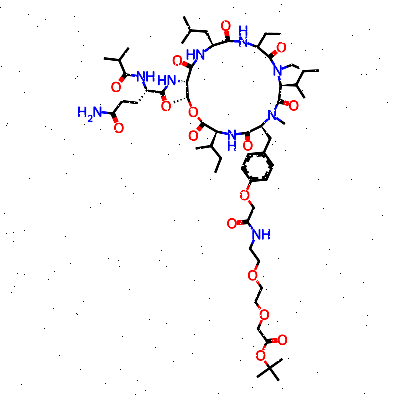 CCC1NC(=O)[C@H](CC(C)C)NC(=O)[C@@H](NC(=O)[C@H](CCC(N)=O)NC(=O)C(C)C)[C@@H](C)OC(=O)[C@H](C(C)CC)NC(=O)[C@H](Cc2ccc(OCC(=O)NCCOCCOCC(=O)OC(C)(C)C)cc2)N(C)C(=O)[C@H](C(C)CC)N(CC)C1=O